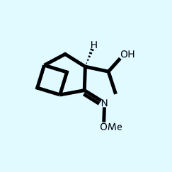 CON=C1C2CC(C2)C[C@H]1C(C)O